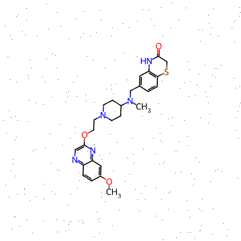 COc1ccc2ncc(OCCN3CCC(N(C)Cc4ccc5c(c4)NC(=O)CS5)CC3)nc2c1